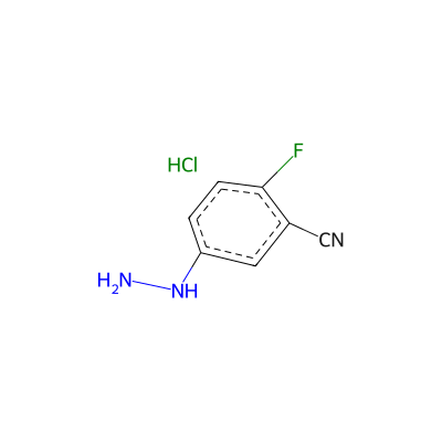 Cl.N#Cc1cc(NN)ccc1F